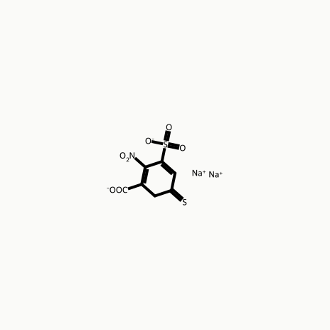 O=C([O-])C1=C([N+](=O)[O-])C(S(=O)(=O)[O-])=CC(=S)C1.[Na+].[Na+]